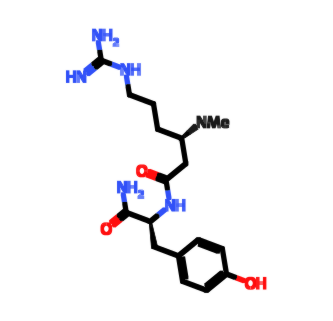 CN[C@H](CCCNC(=N)N)CC(=O)N[C@@H](Cc1ccc(O)cc1)C(N)=O